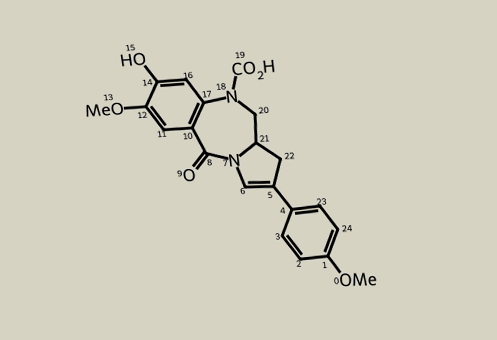 COc1ccc(C2=CN3C(=O)c4cc(OC)c(O)cc4N(C(=O)O)CC3C2)cc1